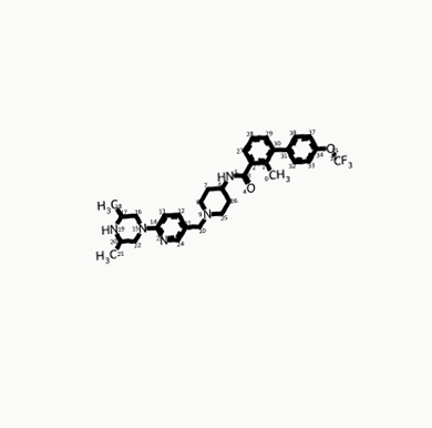 Cc1c(C(=O)NC2CCN(Cc3ccc(N4CC(C)NC(C)C4)nc3)CC2)cccc1-c1ccc(OC(F)(F)F)cc1